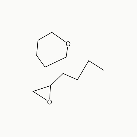 C1CCOCC1.CCCCC1CO1